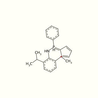 CCc1cccc(C(C)C)c1N[PH](=C1C=CC=C1)c1ccccc1